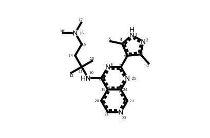 Cc1n[nH]c(C)c1-c1nc(NC(C)(C)CCN(C)C)c2ccncc2n1